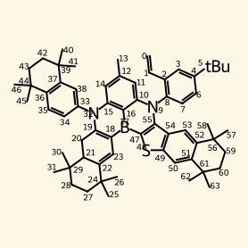 C=Cc1cc(C(C)(C)C)ccc1N1c2cc(C)cc3c2B(C2=C(CC4C(=C2)C(C)(C)CCC4(C)C)N3c2ccc3c(c2)C(C)(C)CCC3(C)C)c2sc3cc4c(cc3c21)C(C)(C)CCC4(C)C